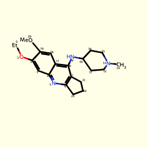 CCOc1cc2nc3c(c(NC4CCN(C)CC4)c2cc1OC)CCC3